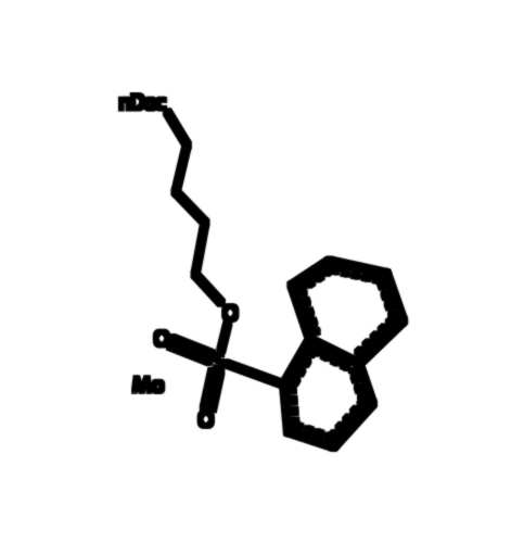 CCCCCCCCCCCCCCOS(=O)(=O)c1cccc2ccccc12.[Mo]